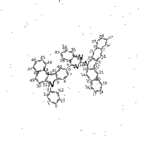 c1ccc(-n2c3ccc(-c4nc(-n5c6cc7ccccc7cc6c6cc7ccccc7cc65)nc5ccccc45)cc3c3c4ccccc4ccc32)cc1